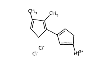 CC1=CCC(C2=CC[C]([Hf+2])=C2)=C1C.[Cl-].[Cl-]